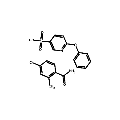 Cc1cc(Cl)ccc1C(N)=O.O=S(=O)(O)c1ccc(Oc2ccccc2)nc1